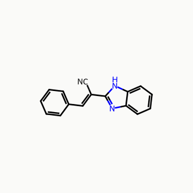 N#CC(=Cc1ccccc1)c1nc2ccccc2[nH]1